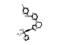 CC(O)(C#Cc1cc2n(n1)CCCN2c1ccnc(Nc2ccc(F)cn2)n1)c1nccs1